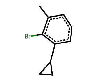 Cc1cccc(C2CC2)c1Br